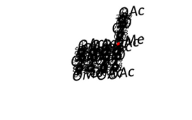 CC(=O)Oc1ccc(-c2coc3c(C)c(OC(C)=O)ccc3c2=O)cc1.CC(=O)Oc1ccc(-c2coc3c(OC(C)=O)c(OC(C)=O)ccc3c2=O)cc1.CC(=O)Oc1cccc(-c2coc3c(C)c(OC(C)=O)ccc3c2=O)c1.COc1ccc(-c2coc3c(C)c(OC(C)=O)ccc3c2=O)cc1.COc1ccc(-c2coc3c(OC(C)=O)c(OC(C)=O)ccc3c2=O)cc1